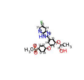 CC(CO)Oc1cc(Oc2ccc(S(C)(=O)=O)cc2)cc(-c2nc3cc(F)cnc3[nH]2)c1